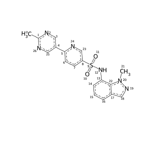 Cc1ncc(-c2ccc(S(=O)(=O)Nc3cccc4cnn(C)c34)cn2)cn1